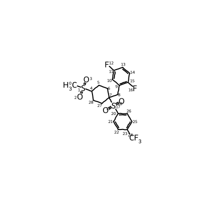 CS(=O)(=O)C1CCC(Cc2cc(F)ccc2F)(S(=O)(=O)c2ccc(C(F)(F)F)cc2)CC1